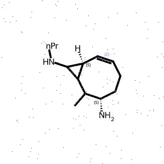 CCCNC1C2C(C)[C@@H](N)CC/C=C\[C@H]12